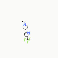 CC(C)N1CCC(c2ccc(C(F)(F)F)cn2)CC1